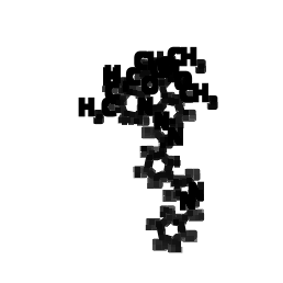 COC(=O)[C@@H](OC(C)(C)C)c1c(C)cc2nc(-c3cccc(-c4cnn(Cc5ccccc5)c4)c3)cn2c1N1CCC(C)(C)CC1